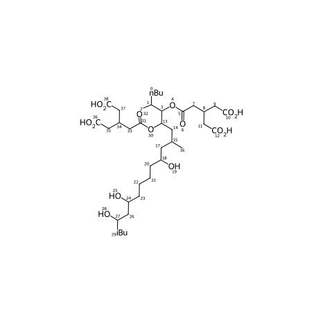 CCCCC(C)C(OC(=O)CC(CC(=O)O)CC(=O)O)C(CC(C)CC(O)CCCCC(O)CC(O)C(C)CC)OC(=O)CC(CC(=O)O)CC(=O)O